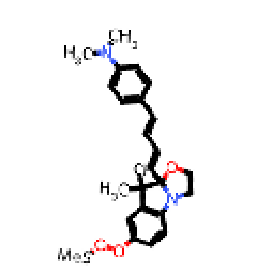 CSOOc1ccc2c(c1)C(C)(C)C1(C=CC=Cc3ccc(N(C)C)cc3)OCCN21